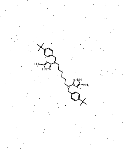 CC(C)(C)c1ccc(CN(CCSSCCN(Cc2ccc(C(C)(C)C)cc2)c2n[nH]c(N)n2)c2n[nH]c(N)n2)cc1